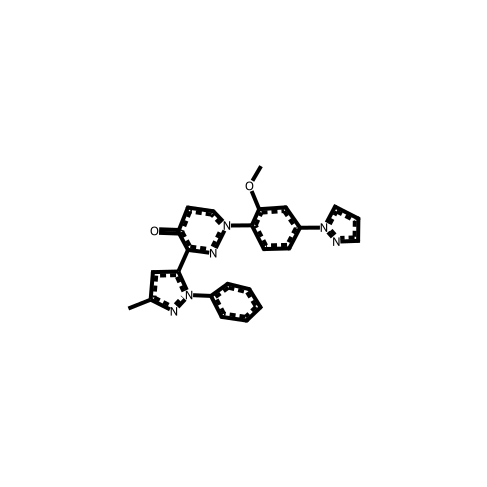 COc1cc(-n2cccn2)ccc1-n1ccc(=O)c(-c2cc(C)nn2-c2ccccc2)n1